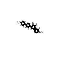 CCCc1ccc2c(c1F)-c1c-2cc(-c2ccc(-c3ccc(C)cc3F)cc2F)c(F)c1F